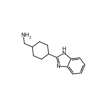 NCC1CCC(c2nc3ccccc3[nH]2)CC1